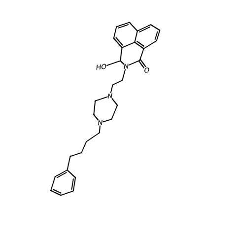 O=C1c2cccc3cccc(c23)C(O)N1CCN1CCN(CCCCc2ccccc2)CC1